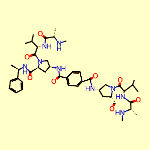 CN[C@@H](C)C(=O)N[C@H](C(=O)N1C[C@@H](NC(=O)c2ccc(C(=O)N[C@H]3C[C@@H](C(=O)N[C@H](C)c4ccccc4)N(C(=O)[C@@H](NC(=O)[C@H](C)NC)C(C)C)C3)cc2)C[C@H]1C=O)C(C)C